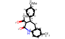 COC(=O)C1C(=O)Nc2ccc(C(F)(F)F)cc2CC1c1ccc(OC)cc1